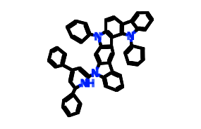 C1=C(c2ccccc2)C=C(n2c3ccccc3c3cc4c5c(ccc6c7ccccc7n(-c7ccccc7)c65)n(-c5ccccc5)c4cc32)NC1c1ccccc1